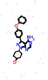 Nc1ncnc2c1c(-c1ccc(Oc3ccccc3)cc1)nn2C1CCC(=O)CC1